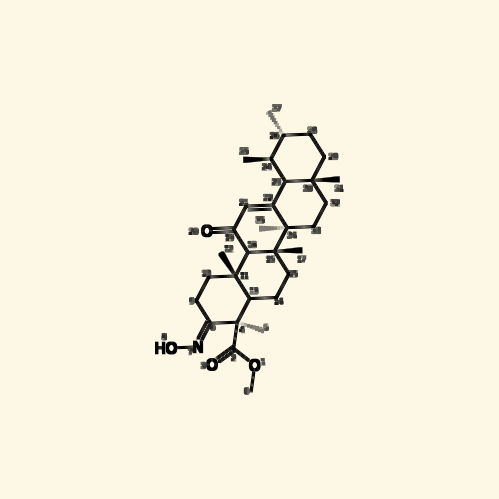 COC(=O)[C@@]1(C)C(=NO)CC[C@@]2(C)C1CC[C@]1(C)C2C(=O)C=C2C3[C@@H](C)[C@H](C)CC[C@]3(C)CC[C@]21C